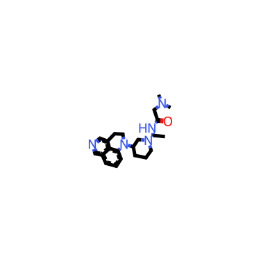 CC(NC(=O)CN(C)C)N1CCCC(N2CCc3cncc4cccc2c34)C1